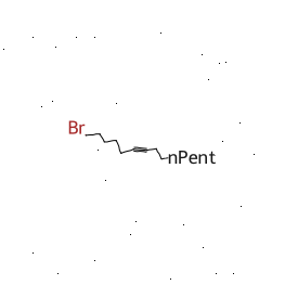 CCCCCCCC#CCCCCCBr